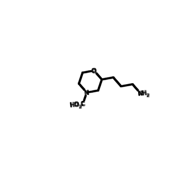 NCCCC1CN(C(=O)O)CCO1